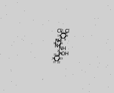 O[C@@H](CNc1cc(-c2ccc(Cl)c(Cl)c2)ncn1)c1ccccc1